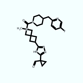 C[N+]1(C(=O)N2CCC(Cc3ccc(F)cn3)CC2)CC2(CC(c3nnc(C4(C=O)CC4)[nH]3)C2)C1